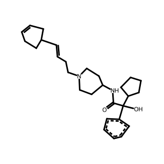 O=C(NC1CCN(CC/C=C/C2CC=CCC2)CC1)C(O)(c1ccccc1)C1CCCC1